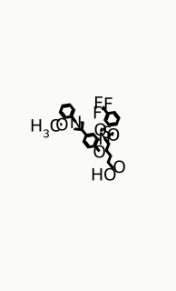 COc1ccccc1N1CC(c2ccc3c(c2)N(S(=O)(=O)c2cccc(C(F)(F)F)c2)CC(CCC(=O)O)O3)C1